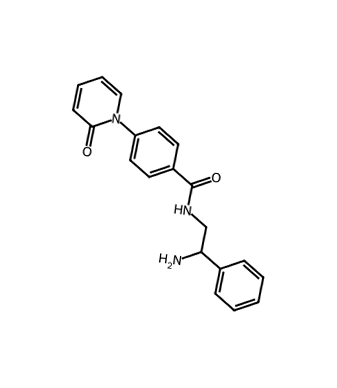 NC(CNC(=O)c1ccc(-n2ccccc2=O)cc1)c1ccccc1